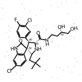 CC(C)(C)CC1N[C@@H](C(=O)NCC[C@H](O)CO)[C@H](c2ccc(F)c(Cl)c2)[C@@]12C(=O)Nc1cc(Cl)ccc12